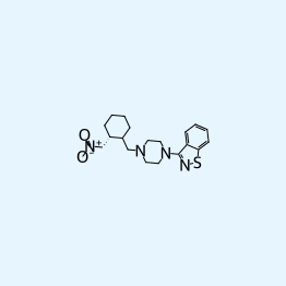 O=[N+]([O-])C[C@@H]1CCCCC1CN1CCN(c2nsc3ccccc23)CC1